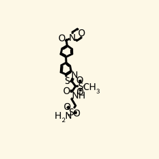 CS(=O)(=O)C(C(=O)NCCS(N)(=O)=O)c1nc2cc(-c3ccc(C(=O)N4CCOCC4)cc3)ccc2s1